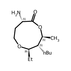 CCCC[C@H]1[C@H](C)OC(=O)[C@@H](N)CCO[C@@H]1CC